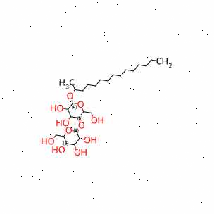 CCCCCCCCCCCCCC(C)O[C@@H]1OC(CO)[C@@H](O[C@H]2OC(CO)[C@@H](O)C(O)C2O)C(O)C1O